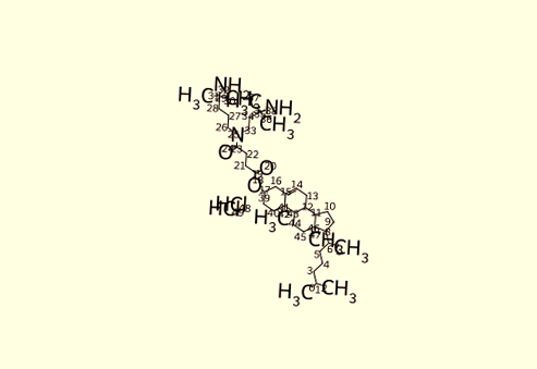 CC(C)CCCC(C)C1CCC2C3CC=C4CC(OC(=O)CCC(=O)N(CCCC(C)(C)N)CCC(C)(C)N)CCC4(C)C3CCC12C.Cl.Cl